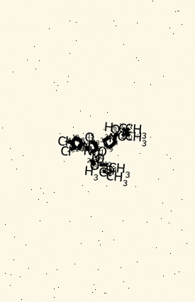 CC(C)(C)OC(=O)N1CCC(Oc2cc(=O)n(-c3ccc(Cl)c(Cl)c3)nc2N(C=O)OCC[Si](C)(C)C)CC1